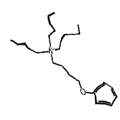 CCCC[N+](CCCC)(CCCC)CCCCOc1ccccc1